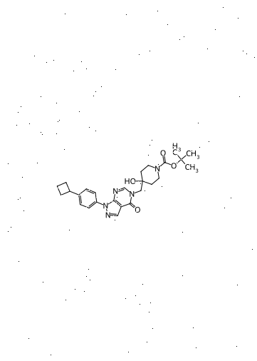 CC(C)(C)OC(=O)N1CCC(O)(Cn2cnc3c(cnn3-c3ccc(C4CCC4)cc3)c2=O)CC1